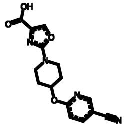 N#Cc1ccc(OC2CCN(c3nc(C(=O)O)co3)CC2)nc1